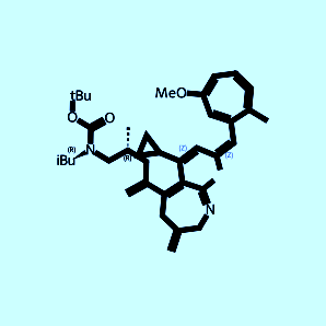 C=C1CN=C(C)C(/C(=C\C(C)=C/C2=CC(OC)=CC=C=C2C)C2CC2)=C(C(=C)C[C@@H](C)CN(C(=O)OC(C)(C)C)[C@H](C)CC)C1